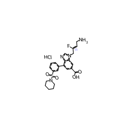 Cl.NC/C=C(\F)Cn1cnc2c(-c3cccc(S(=O)(=O)N4CCCCC4)c3)cc(C(=O)O)cc21